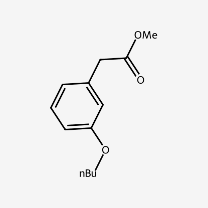 CCCCOc1cccc(CC(=O)OC)c1